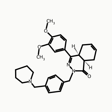 COc1ccc(C2=NN(Cc3ccc(CN4CCCCC4)cc3)C(=O)[C@@H]3CC=CC[C@H]23)cc1OC